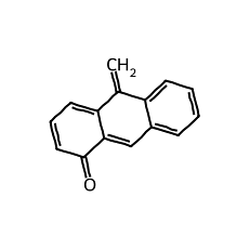 C=c1c2c(cc3ccccc13)C(=O)C=CC=2